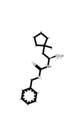 CC1(C[C@H](NC(=O)OCc2ccccc2)C(=O)O)CCCC1